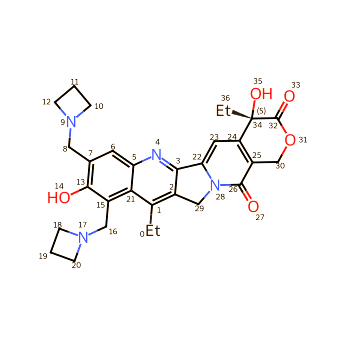 CCc1c2c(nc3cc(CN4CCC4)c(O)c(CN4CCC4)c13)-c1cc3c(c(=O)n1C2)COC(=O)[C@]3(O)CC